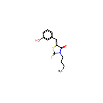 CCCCN1C(=O)C(=Cc2cccc(O)c2)SC1=S